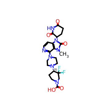 Cn1c(=O)n(C2CCC(=O)NC2=O)c2ccnc(N3CCN([C@H]4CCN(C(=O)O)CC4(F)F)CC3)c21